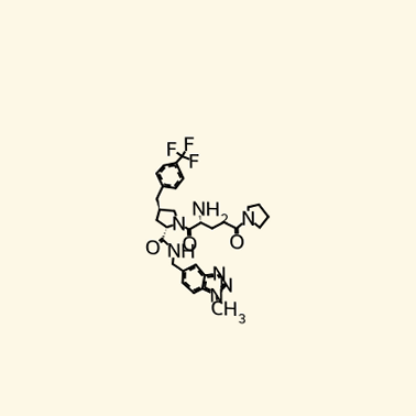 Cn1nnc2cc(CNC(=O)[C@@H]3C[C@@H](Cc4ccc(C(F)(F)F)cc4)CN3C(=O)[C@H](N)CCC(=O)N3CCCC3)ccc21